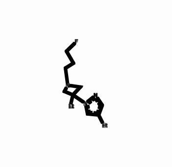 CCc1cnn(C2(CC)CN(CCCF)C2)c1